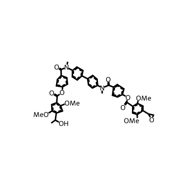 COc1cc(C(C)O)c(OC)cc1C(=O)Oc1ccc(C(=O)N(C)c2ccc(-c3ccc(N(C)C(=O)c4ccc(OC(=O)c5cc(OC)c(C6CO6)cc5OC)cc4)cc3)cc2)cc1